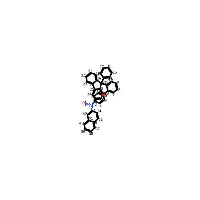 IN(c1ccc(-c2ccccc2C2(c3ccccc3)c3ccccc3-c3ccccc32)cc1)c1ccc2ccccc2c1